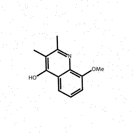 COc1cccc2c(O)c(C)c(C)nc12